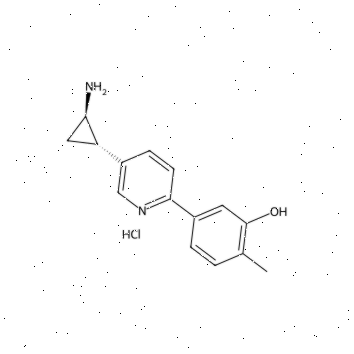 Cc1ccc(-c2ccc([C@@H]3C[C@H]3N)cn2)cc1O.Cl